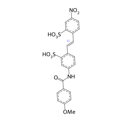 COc1ccc(C(=O)Nc2ccc(/C=C/c3ccc([N+](=O)[O-])cc3S(=O)(=O)O)c(S(=O)(=O)O)c2)cc1